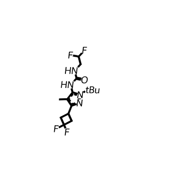 Cc1c(C2CC(F)(F)C2)nn(C(C)(C)C)c1NC(=O)NCC(F)F